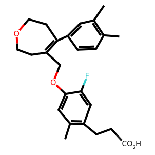 Cc1ccc(C2=C(COc3cc(C)c(CCC(=O)O)cc3F)CCOCC2)cc1C